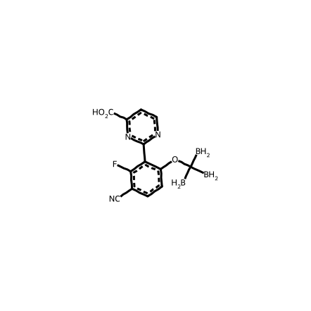 BC(B)(B)Oc1ccc(C#N)c(F)c1-c1nccc(C(=O)O)n1